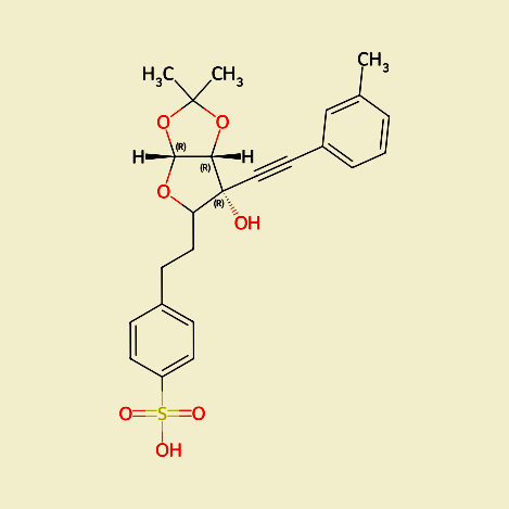 Cc1cccc(C#C[C@@]2(O)C(CCc3ccc(S(=O)(=O)O)cc3)O[C@@H]3OC(C)(C)O[C@@H]32)c1